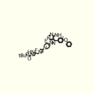 CC(C)(C)OC(=O)N1CC(F)(CN2CC(N3CC[C@H](n4nc(-c5ccc(Oc6ccccc6)cc5)c5c(N)ncnc54)[C@H](F)C3)C2)N1